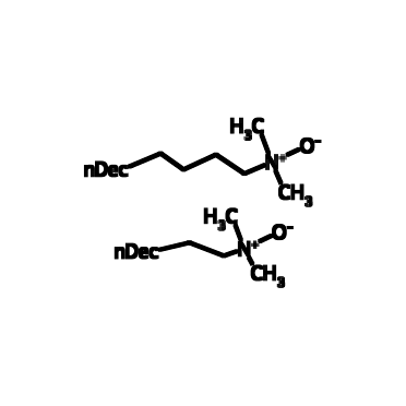 CCCCCCCCCCCCCC[N+](C)(C)[O-].CCCCCCCCCCCC[N+](C)(C)[O-]